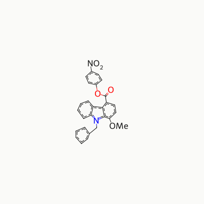 COc1ccc(C(=O)Oc2ccc([N+](=O)[O-])cc2)c2c3ccccc3n(Cc3ccccc3)c12